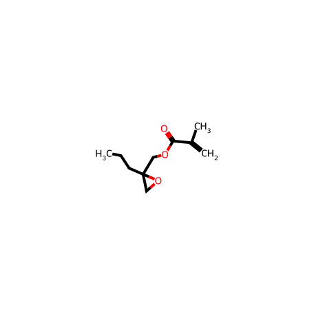 C=C(C)C(=O)OCC1(CCC)CO1